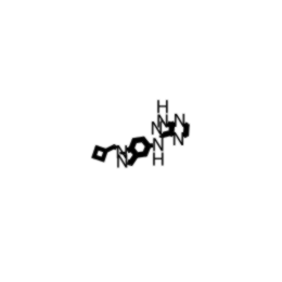 c1cnc2c(Nc3ccc4c(cnn4CC4CCC4)c3)n[nH]c2n1